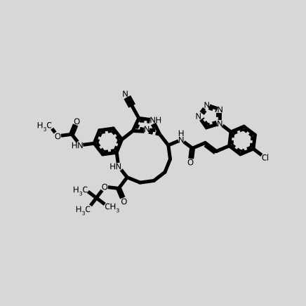 COC(=O)Nc1ccc2c(c1)NC(C(=O)OC(C)(C)C)CCCCC(NC(=O)C=Cc1cc(Cl)ccc1-n1cnnn1)c1nc-2c(C#N)[nH]1